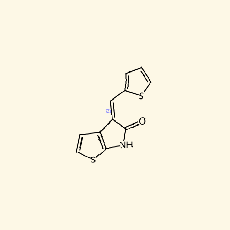 O=C1Nc2sccc2/C1=C/c1cccs1